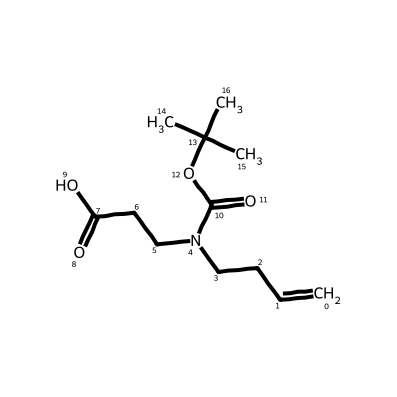 C=CCCN(CCC(=O)O)C(=O)OC(C)(C)C